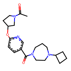 CC(=O)N1CCC(Oc2ccc(C(=O)N3CCCN(C4CCC4)CC3)cn2)C1